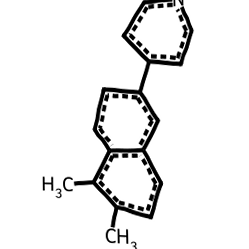 Cc1ccc2cc(-c3ccncc3)ccc2c1C